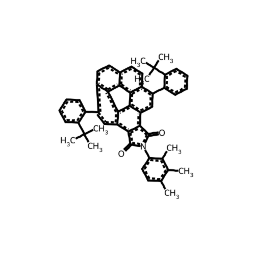 Cc1ccc(-n2c(=O)c3c4cc(-c5ccccc5C(C)(C)C)c5ccc6ccc7c(-c8ccccc8C(C)(C)C)cc(c3c2=O)c2c7c6c5c42)c(C)c1C